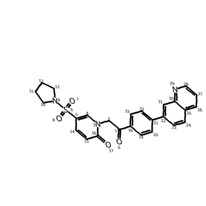 O=C(Cn1cc(S(=O)(=O)N2CCCC2)ccc1=O)c1ccc(-c2ccc3cccnc3c2)cc1